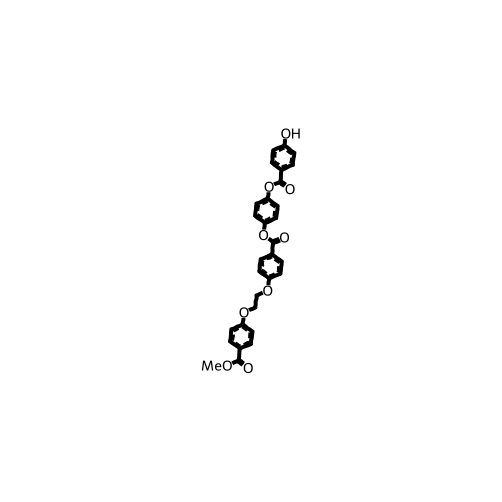 COC(=O)c1ccc(OCCOc2ccc(C(=O)Oc3ccc(OC(=O)c4ccc(O)cc4)cc3)cc2)cc1